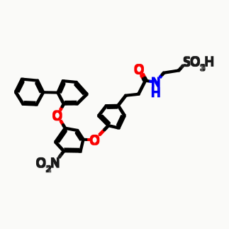 O=C(CCc1ccc(Oc2cc(Oc3ccccc3-c3ccccc3)cc([N+](=O)[O-])c2)cc1)NCCS(=O)(=O)O